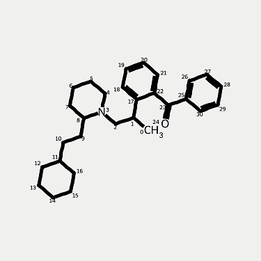 CC(CN1CCCCC1CCC1CCCCC1)c1ccccc1C(=O)c1ccccc1